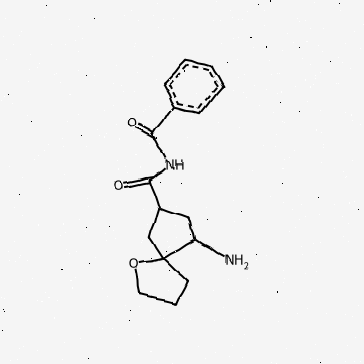 NC1CC(C(=O)NC(=O)c2ccccc2)CC12CCCO2